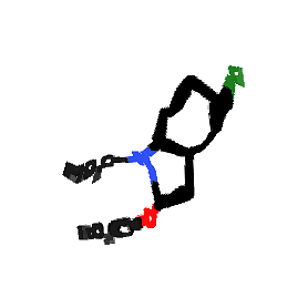 CCOC(=O)Oc1cc2cc(Cl)ccc2n1C(=O)OCC